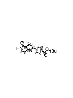 CC(C)(C)OC(=O)N1CCN(c2ncc3c(n2)CCNC3=O)CC1